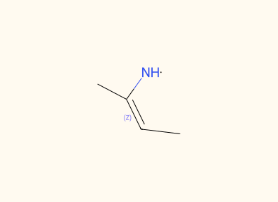 C/C=C(/C)[NH]